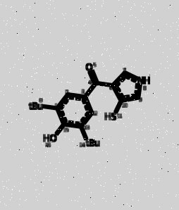 CC(C)(C)c1cc(C(=O)c2c[nH]cc2S)cc(C(C)(C)C)c1O